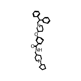 O=C(NCC1CCN(C2CCCC2)CC1)c1cccc(OC2CCCN(CC(c3ccccc3)c3ccccc3)C2)c1